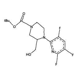 CC(C)(C)OC(=O)N1CCN(c2nc(F)c(F)cc2F)C(CO)C1